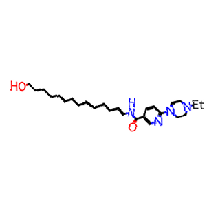 CCN1CCN(c2ccc(C(=O)NCCCCCCCCCCCCCCO)cn2)CC1